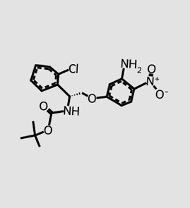 CC(C)(C)OC(=O)N[C@@H](COc1ccc([N+](=O)[O-])c(N)c1)c1ccccc1Cl